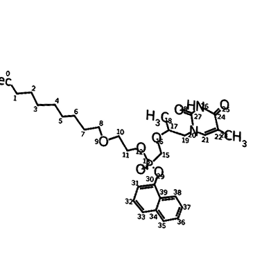 CCCCCCCCCCCCCCCCCCOCCOP(=O)(COC(C)Cn1cc(C)c(=O)[nH]c1=O)Oc1cccc2ccccc12